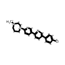 CN1CCCN(c2ccc(-c3ccc(-c4ccc(Cl)cc4)cn3)cn2)CC1